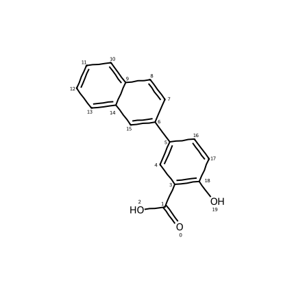 O=C(O)c1cc(-c2ccc3ccccc3c2)ccc1O